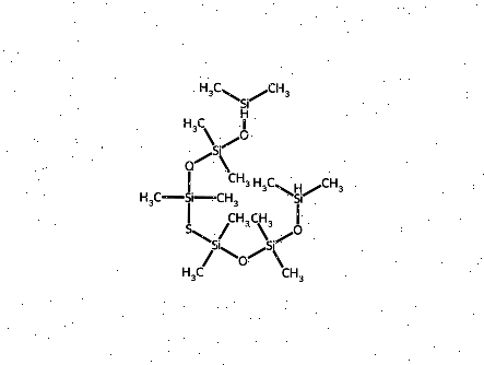 C[SiH](C)O[Si](C)(C)O[Si](C)(C)S[Si](C)(C)O[Si](C)(C)O[SiH](C)C